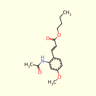 CCCCOC(=O)/C=C/c1ccc(OC)cc1NC(C)=O